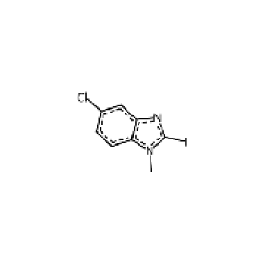 Cn1c(I)nc2cc(Cl)ccc21